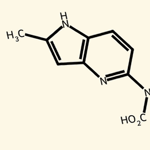 Cc1cc2nc(NC(=O)O)ccc2[nH]1